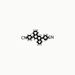 [C-]#[N+]c1ccc(-c2cc3c4ccccc4c(-c4ccc(C#N)cc4)cc3c3ccccc23)cc1